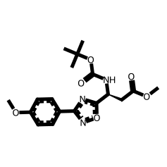 COC(=O)C[C@H](NC(=O)OC(C)(C)C)c1nc(-c2ccc(OC)cc2)no1